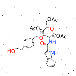 CC(=O)OCC1O[C@@H](OC(C)=O)C(NC(=O)c2cc3ccccc3[nH]2)C(OCc2ccc(CCO)cc2)[C@H]1OC(C)=O